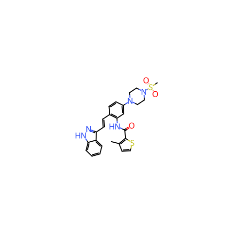 Cc1ccsc1C(=O)Nc1cc(N2CCN(S(C)(=O)=O)CC2)ccc1C=Cc1n[nH]c2ccccc12